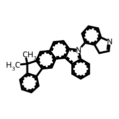 CC1(C)c2ccccc2-c2cc3c(ccc4c3c3ccccc3n4-c3cccc4c3CC=N4)cc21